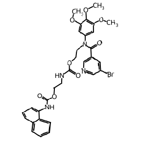 COc1cc(N(CCOC(=O)NCCOC(=O)Nc2cccc3ccccc23)C(=O)c2cncc(Br)c2)cc(OC)c1OC